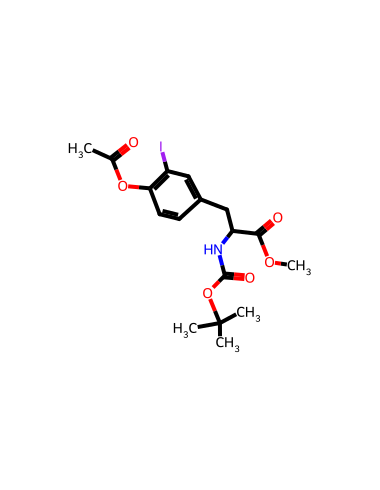 COC(=O)C(Cc1ccc(OC(C)=O)c(I)c1)NC(=O)OC(C)(C)C